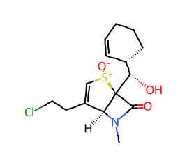 CN1C(=O)[C@@]2([C@@H](O)[C@@H]3C=CCCC3)[C@@H]1C(CCCl)=C[S+]2[O-]